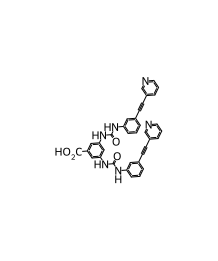 O=C(Nc1cccc(C#Cc2cccnc2)c1)Nc1cc(NC(=O)Nc2cccc(C#Cc3cccnc3)c2)cc(C(=O)O)c1